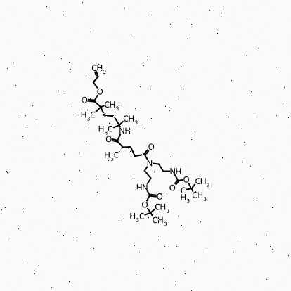 C=CCOC(=O)C(C)(C)CCC(C)(C)NC(=O)[C@@H](C)CCC(=O)N(CCNC(=O)OC(C)(C)C)CCNC(=O)OC(C)(C)C